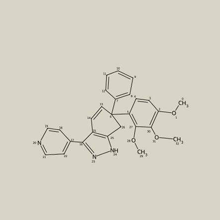 COc1ccc(C2(c3ccccc3)C=Cc3c(-c4ccncc4)n[nH]c3C2)c(OC)c1OC